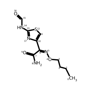 CCCCON=C(C(N)=O)c1csc(NC=O)n1